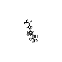 CC(=O)N(C)C1CC(c2cc(NC(=O)C(C)C)[nH]n2)C1